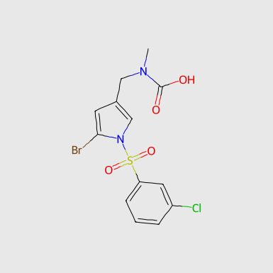 CN(Cc1cc(Br)n(S(=O)(=O)c2cccc(Cl)c2)c1)C(=O)O